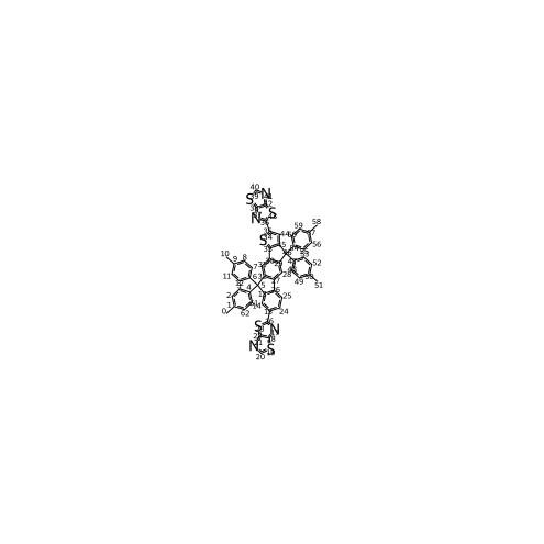 Cc1ccc(C2(c3ccc(C)cc3)c3cc(-c4nc5scnc5s4)ccc3-c3cc4c(cc32)-c2sc(-c3nc5scnc5s3)cc2C4(c2ccc(C)cc2)c2ccc(C)cc2)cc1